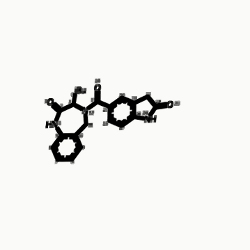 CCC(C)C1C(=O)Nc2ccccc2CN1C(=O)c1ccc2c(c1)CC(=O)N2